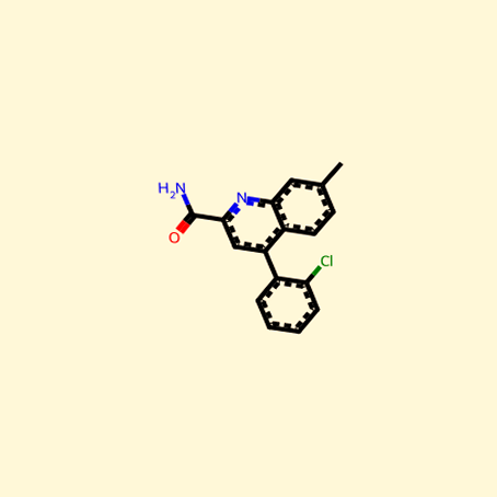 Cc1ccc2c(-c3ccccc3Cl)cc(C(N)=O)nc2c1